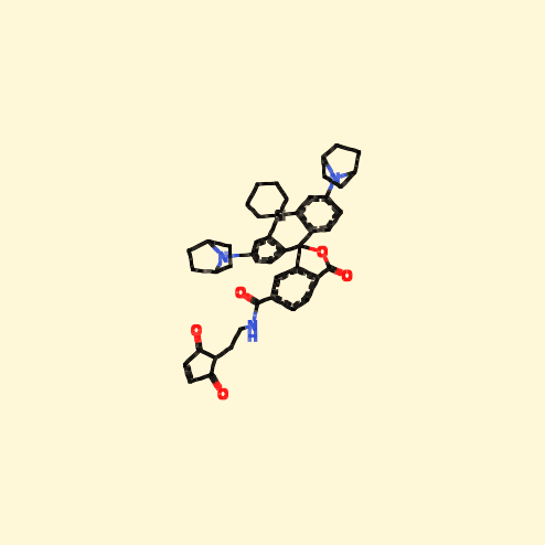 O=C(NCCC1C(=O)C=CC1=O)c1ccc2c(c1)C1(OC2=O)c2ccc(N3C4CCC3CC4)cc2[Si]2(CCCCC2)c2cc(N3C4CCC3CC4)ccc21